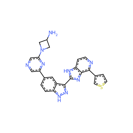 NC1CN(c2cncc(-c3ccc4[nH]nc(-c5nc6c(-c7ccsc7)nccc6[nH]5)c4c3)n2)C1